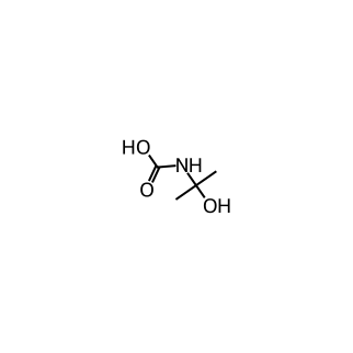 CC(C)(O)NC(=O)O